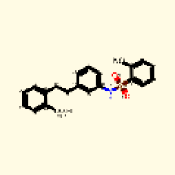 N#Cc1ccccc1S(=O)(=O)Nc1cccc(CCc2ccccc2C(=O)O)c1